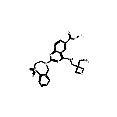 COC(=O)c1ccc2nc(N3CCS(=O)(=O)c4ccccc4C3)nc(NCC3(CN)COC3)c2c1